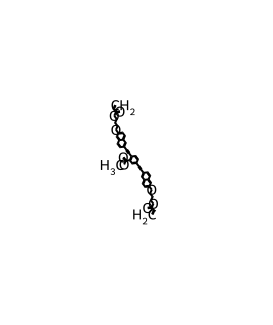 C=CC(=O)OCCCOc1ccc2cc(C#Cc3ccc(C#Cc4ccc5cc(OCCCOC(=O)C=C)ccc5c4)c(C(=O)OC)c3)ccc2c1